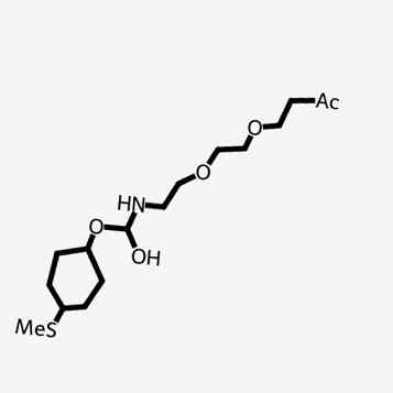 CSC1CCC(OC(O)NCCOCCOCCC(C)=O)CC1